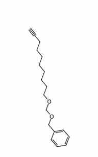 C#CCCCCCCCCOCOCc1ccccc1